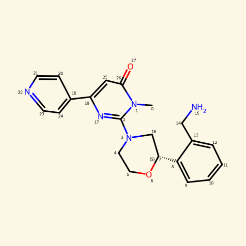 Cn1c(N2CCO[C@@H](c3ccccc3CN)C2)nc(-c2ccncc2)cc1=O